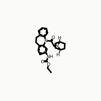 CCOC(=O)Nc1ccc2c(c1)N(C(=O)CN1[C@H]3CC[C@@H]1CC3)c1ccccc1CC2